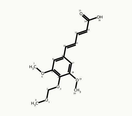 COCOc1c(OC)cc(C=CC=CC(=O)O)cc1OC